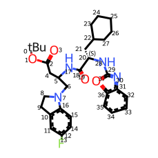 CC(C)(C)OC(=O)CC(CN1CCc2cc(F)ccc21)NC(=O)[C@H](CC1CCCCC1)Nc1nc2ccccc2o1